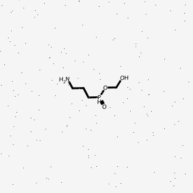 NCCC[PH](=O)OCO